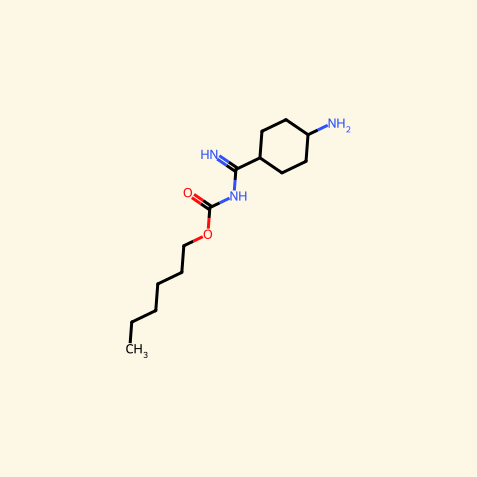 CCCCCCOC(=O)NC(=N)C1CCC(N)CC1